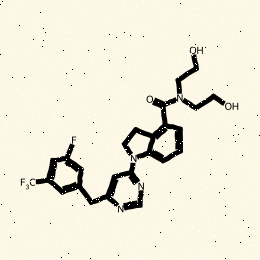 O=C(c1cccc2c1CCN2c1cc(Cc2cc(F)cc(C(F)(F)F)c2)ncn1)N(CCO)CCO